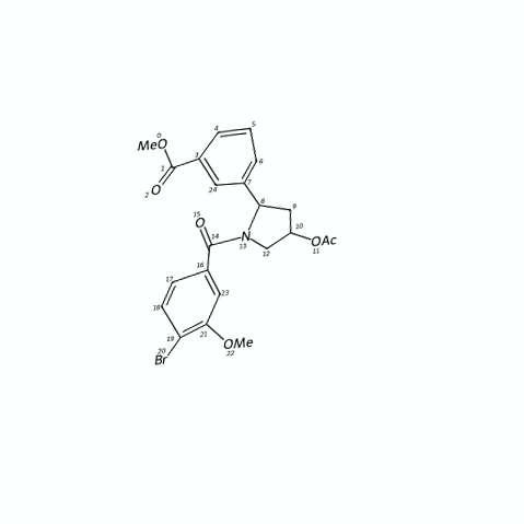 COC(=O)c1cccc(C2CC(OC(C)=O)CN2C(=O)c2ccc(Br)c(OC)c2)c1